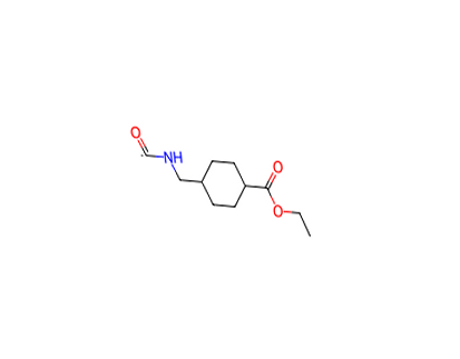 CCOC(=O)C1CCC(CN[C]=O)CC1